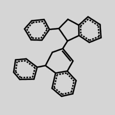 C1=C(C2c3ccccc3CC2c2ccccc2)CC(c2ccccc2)c2ccccc21